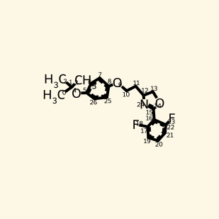 CC(C)(C)Oc1ccc(OCCC2COC(c3c(F)cccc3F)=N2)cc1